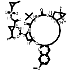 COc1ccc2cc3c(nc2c1)O[C@@H]1C[C@@H](C(=O)N[C@]2(C(=O)NS(=O)(=O)C4CC4C)CC2C(F)F)N(C1)C(=O)[C@H](C(C)(C)C)NC(=O)O[C@@H]1C[C@@H]2C[C@@H]2[C@H]1CCCCC3